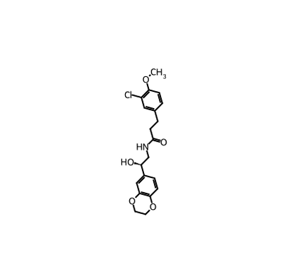 COc1ccc(CCC(=O)NC[C@H](O)c2ccc3c(c2)OCCO3)cc1Cl